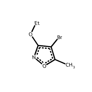 CCOc1noc(C)c1Br